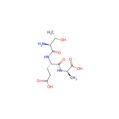 C[C@H](O)[C@H](N)C(=O)N[C@@H](CCC(=O)O)C(=O)N[C@H](C)C(=O)O